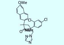 CNC(=O)C(C)(CC(O)(Cn1cncn1)c1ccc(Cl)cc1Cl)c1ccc2cc(OC)ccc2c1